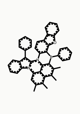 Cc1cc2c3c(c1C)c(C)c(C)c1c3n(c3c(-c4ccccc4)c4ccccc4n23)-c2ccc3c(oc4ccccc43)c2B1c1ccccc1